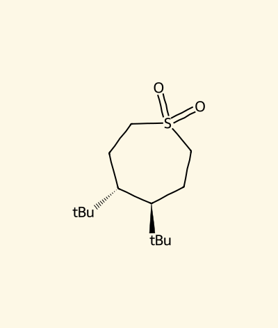 CC(C)(C)[C@@H]1CCS(=O)(=O)CC[C@H]1C(C)(C)C